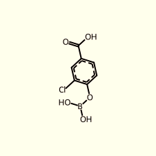 O=C(O)c1ccc(OB(O)O)c(Cl)c1